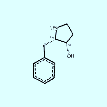 O[C@H]1CCN[C@H]1Cc1ccccc1